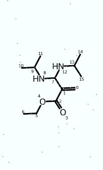 C=C(C(=O)OCC)C(NC(C)C)NC(C)C